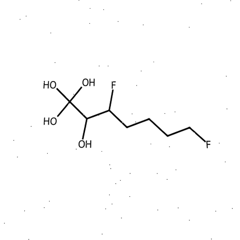 OC(C(F)CCCCF)C(O)(O)O